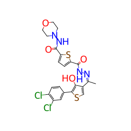 C/C(=N/NC(=O)c1ccc(C(=O)NN2CCOCC2)s1)c1csc(-c2ccc(Cl)c(Cl)c2)c1O